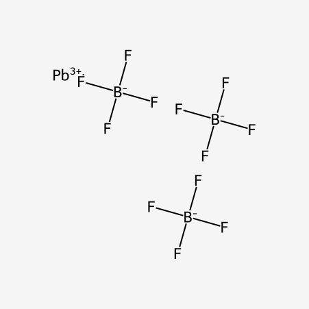 F[B-](F)(F)F.F[B-](F)(F)F.F[B-](F)(F)F.[Pb+3]